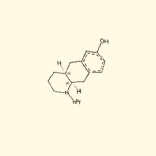 CCCN1CCC[C@H]2Cc3cc(O)ccc3C[C@H]21